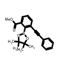 COC(=O)c1cccc(C#Cc2ccccc2)c1B1OC(C)(C)C(C)(C)O1